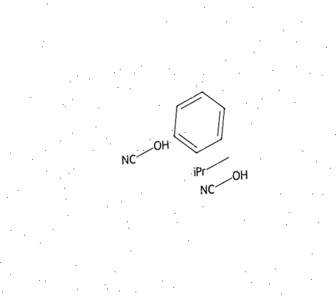 CC(C)C.N#CO.N#CO.c1ccccc1